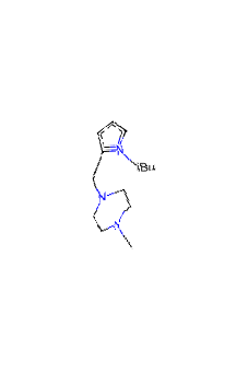 CCC(C)n1cccc1CN1CCN(C)CC1